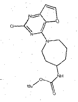 CC(C)(C)OC(=O)NC1CCCN(c2nc(Cl)nc3ccoc23)CC1